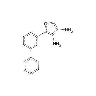 Nc1coc(-c2cccc(-c3ccccc3)c2)c1N